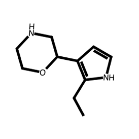 CCc1[nH]ccc1C1CNCCO1